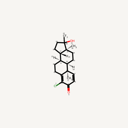 C[C@]12C=CC(=O)C(Cl)=C1CC[C@@H]1[C@H]2CC[C@@]2(C)[C@H]1CCC2(O)C(F)(F)F